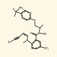 CCC#C/C=N\N(C)c1ccc(C(F)(F)F)cc1C(=O)N(CC)C(C)COc1cnc(C(F)(F)P)cn1